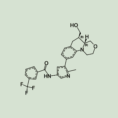 Cc1ncc(NC(=O)c2cccc(C(F)(F)F)c2)cc1-c1ccc2c(c1)N1CCOC[C@H]1[C@H](CO)C2